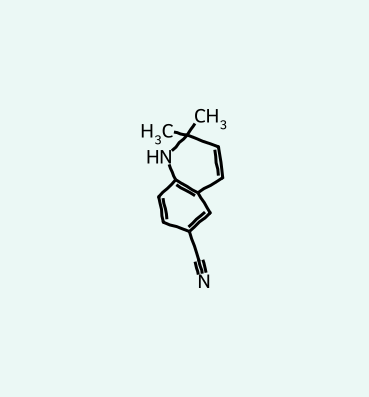 CC1(C)C=Cc2cc(C#N)ccc2N1